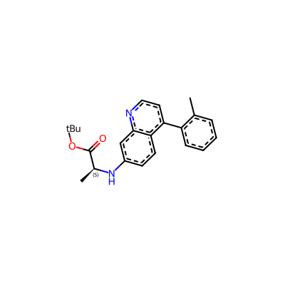 Cc1ccccc1-c1ccnc2cc(N[C@@H](C)C(=O)OC(C)(C)C)ccc12